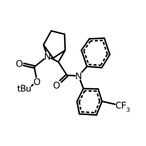 CC(C)(C)OC(=O)N1C2CCC(C2)C1C(=O)N(c1ccccc1)c1cccc(C(F)(F)F)c1